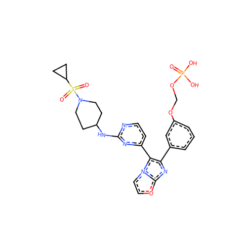 O=P(O)(O)OCOc1cccc(-c2nc3occn3c2-c2ccnc(NC3CCN(S(=O)(=O)C4CC4)CC3)n2)c1